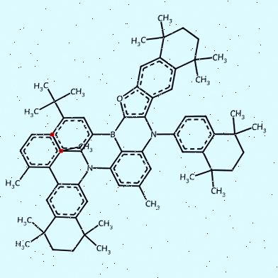 Cc1cc2c3c(c1)N(c1ccc4c(c1)C(C)(C)CCC4(C)C)c1c(oc4cc5c(cc14)C(C)(C)CCC5(C)C)B3c1cc(C(C)(C)C)ccc1N2c1cc2c(cc1-c1c(C)cccc1C)C(C)(C)CCC2(C)C